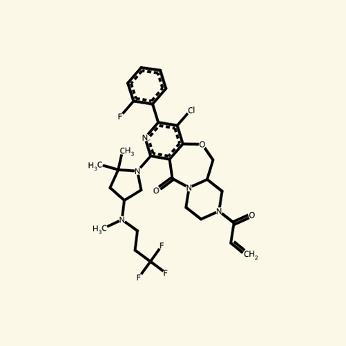 C=CC(=O)N1CCN2C(=O)c3c(N4CC(N(C)CCC(F)(F)F)CC4(C)C)nc(-c4ccccc4F)c(Cl)c3OCC2C1